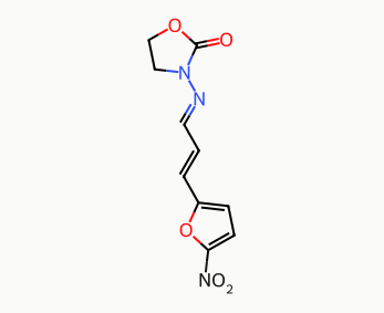 O=C1OCCN1/N=C/C=C/c1ccc([N+](=O)[O-])o1